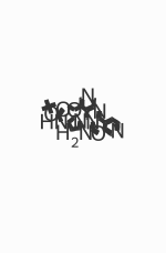 COc1cncc2c1C(N1CCC(NC(=O)OC(C)(C)C)C1)N(C(N)=O)C(c1ccncc1)=N2